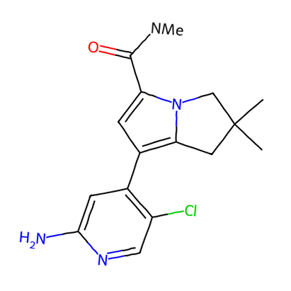 CNC(=O)c1cc(-c2cc(N)ncc2Cl)c2n1CC(C)(C)C2